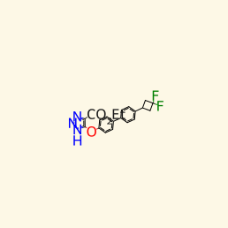 CCOC(=O)c1nn[nH]c1Oc1ccc(-c2ccc(C3CC(F)(F)C3)cc2)cc1